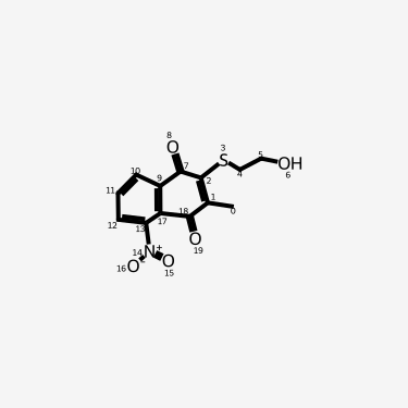 CC1=C(SCCO)C(=O)c2cccc([N+](=O)[O-])c2C1=O